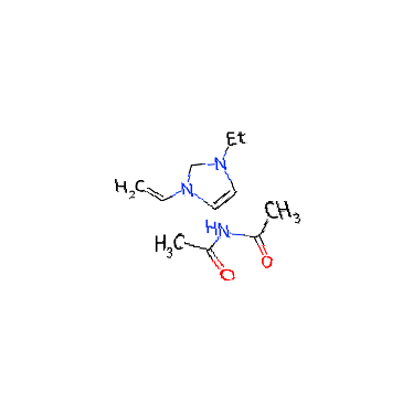 C=CN1C=CN(CC)C1.CC(=O)NC(C)=O